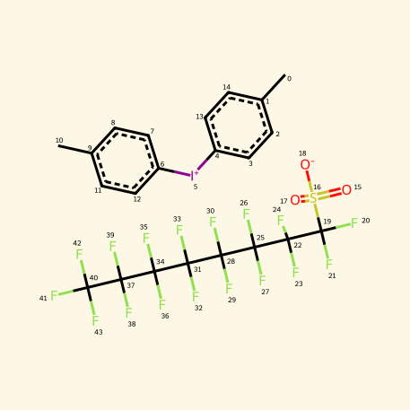 Cc1ccc([I+]c2ccc(C)cc2)cc1.O=S(=O)([O-])C(F)(F)C(F)(F)C(F)(F)C(F)(F)C(F)(F)C(F)(F)C(F)(F)C(F)(F)F